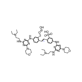 CCN(CC)CCNc1nc(Nc2ccc(/C=C/c3ccc(Nc4nc(NCCN(CC)CC)nc(N5CCOCC5)n4)cc3S(=O)(=O)O)c(SOOO)c2)nc(N2CCOCC2)n1